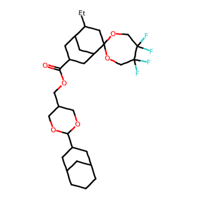 CCC1CC2(OCC(F)(F)C(F)(F)CO2)C2CC(C(=O)OCC3COC(C4CC5CCCC(C5)C4)OC3)CC1C2